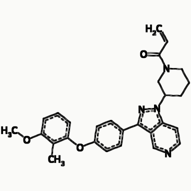 C=CC(=O)N1CCCC(n2nc(-c3ccc(Oc4cccc(OC)c4C)cc3)c3cnccc32)C1